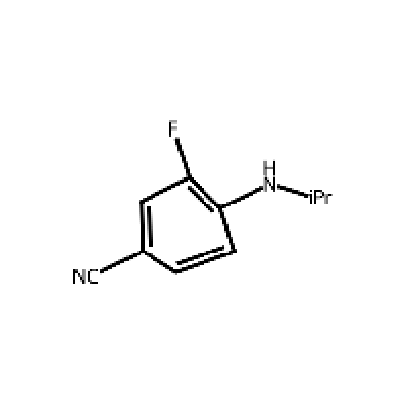 CC(C)Nc1ccc(C#N)cc1F